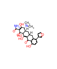 CN(C)[C@H]1C(O)=C(C(N)=O)C(=O)[C@]2(O)C(O)=C3C(=O)c4c(O)ccc(-c5ccoc5)c4C[C@H]3C[C@H]12